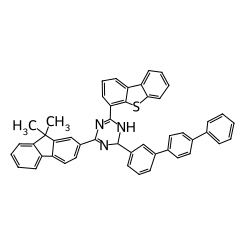 CC1(C)c2ccccc2-c2ccc(C3=NC(c4cccc(-c5ccc(-c6ccccc6)cc5)c4)NC(c4cccc5c4sc4ccccc45)=N3)cc21